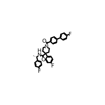 C[C@H](NC(=O)C1(c2ccc(F)cc2)CCN(C(=O)c2ccc(-c3ccc(F)cc3)cc2)CC1)c1ccc(F)cc1